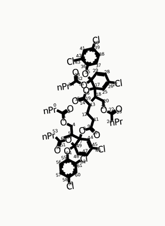 CCCC(=O)OCC(C)C1(OC(=O)CCCC(=O)OC2(C(C)COC(=O)CCC)C=C(Cl)C=CC2(OC(=O)CCC)Oc2ccc(Cl)cc2Cl)C=C(Cl)C=CC1(OC(=O)CCC)Oc1ccc(Cl)cc1Cl